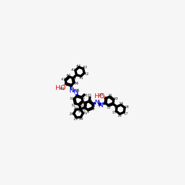 Cc1cc(C2(c3ccc(/N=N/c4cc(C5CCCCC5)ccc4O)c(C)c3)CCCCC2)ccc1/N=N/c1cc(C2CCCCC2)ccc1O